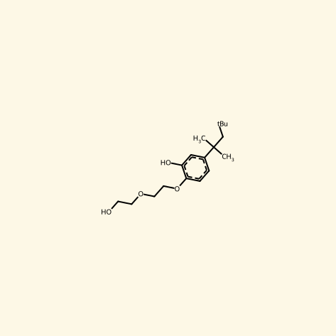 CC(C)(C)CC(C)(C)c1ccc(OCCOCCO)c(O)c1